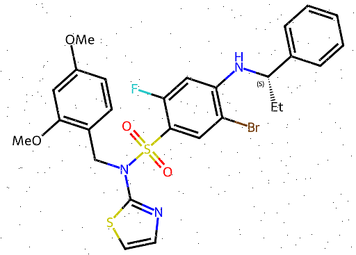 CC[C@H](Nc1cc(F)c(S(=O)(=O)N(Cc2ccc(OC)cc2OC)c2nccs2)cc1Br)c1ccccc1